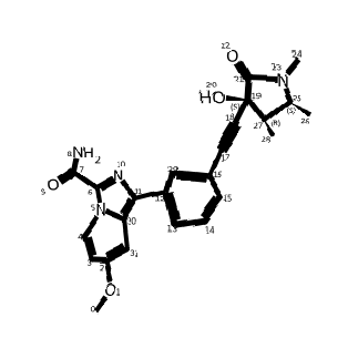 COc1ccn2c(C(N)=O)nc(-c3cccc(C#C[C@]4(O)C(=O)N(C)[C@@H](C)[C@H]4C)c3)c2c1